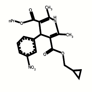 CCCOC(=O)C1=C(C)NC(C)=C(C(=O)OCC2CC2)C1c1cccc([N+](=O)[O-])c1